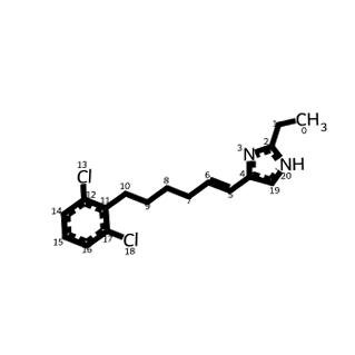 CCc1nc(C=CCCCCc2c(Cl)cccc2Cl)c[nH]1